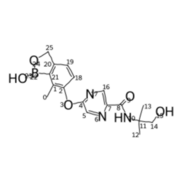 Cc1c(Oc2cnc(C(=O)NC(C)(C)CO)cn2)ccc2c1B(O)OC2